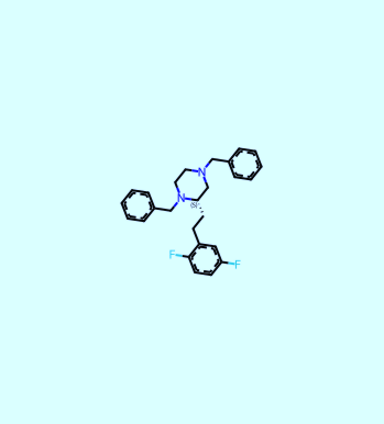 Fc1ccc(F)c(CC[C@H]2CN(Cc3ccccc3)CCN2Cc2ccccc2)c1